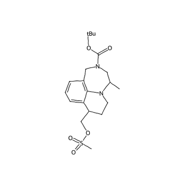 CC1CN(C(=O)OC(C)(C)C)Cc2cccc3c2N1CCC3COS(C)(=O)=O